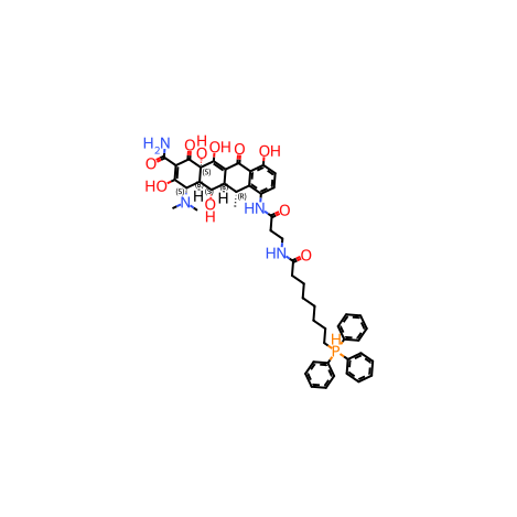 C[C@H]1c2c(NC(=O)CCNC(=O)CCCCCCC[PH](c3ccccc3)(c3ccccc3)c3ccccc3)ccc(O)c2C(=O)C2=C(O)[C@]3(O)C(=O)C(C(N)=O)=C(O)[C@@H](N(C)C)[C@@H]3[C@@H](O)[C@@H]21